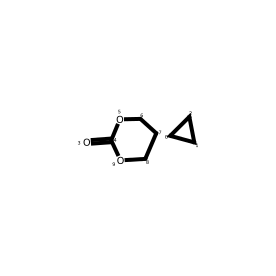 C1CC1.O=C1OCCCO1